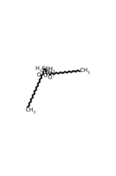 CCCCCCCCCCCCCCCCCC(=O)C(C[N+](C)(C)C)O[P-]C(=O)CCCCCCCCCCCCCCC